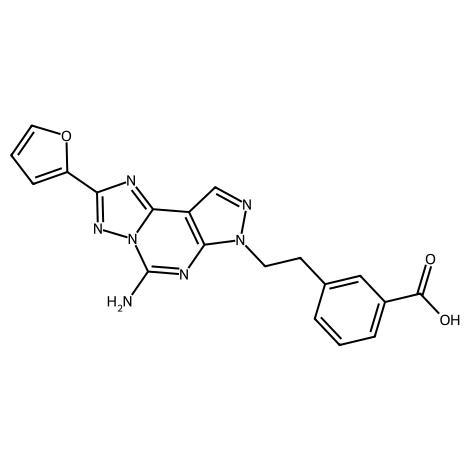 Nc1nc2c(cnn2CCc2cccc(C(=O)O)c2)c2nc(-c3ccco3)nn12